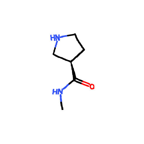 CNC(=O)[C@@H]1CCNC1